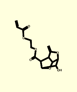 C=CC(=O)OCCOC(=O)C1C2OC3C(OC(=C)C31)C2O